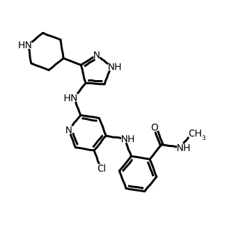 CNC(=O)c1ccccc1Nc1cc(Nc2c[nH]nc2C2CCNCC2)ncc1Cl